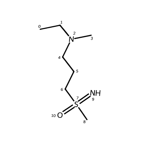 CCN(C)CCCS(C)(=N)=O